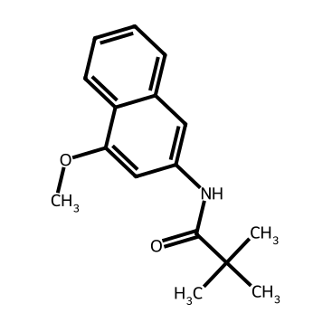 COc1cc(NC(=O)C(C)(C)C)cc2ccccc12